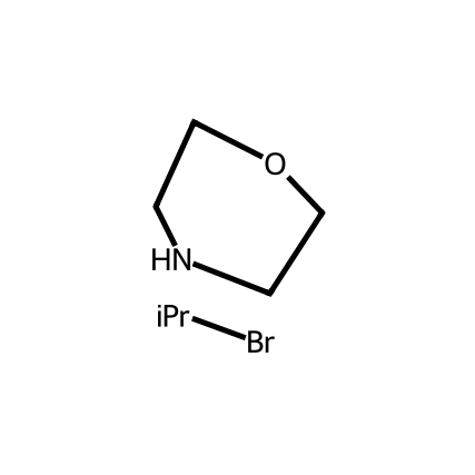 C1COCCN1.CC(C)Br